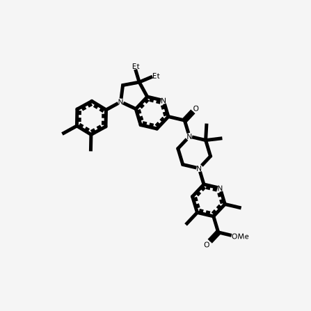 CCC1(CC)CN(c2ccc(C)c(C)c2)c2ccc(C(=O)N3CCN(c4cc(C)c(C(=O)OC)c(C)n4)CC3(C)C)nc21